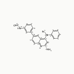 Nc1nc(N(Br)c2ccccc2)c2cc(-c3cccc(NC=O)c3)ccc2n1